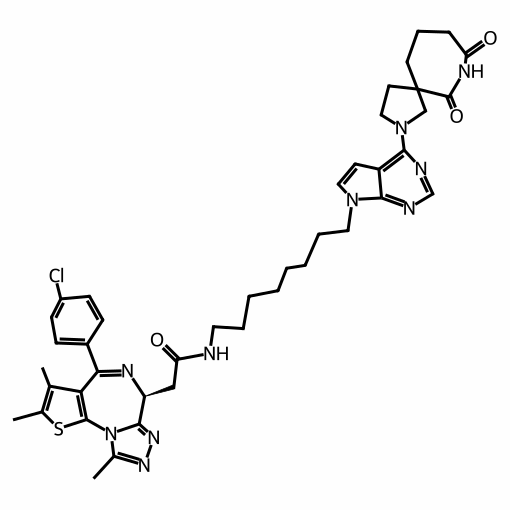 Cc1sc2c(c1C)C(c1ccc(Cl)cc1)=N[C@@H](CC(=O)NCCCCCCCCn1ccc3c(N4CCC5(CCCC(=O)NC5=O)C4)ncnc31)c1nnc(C)n1-2